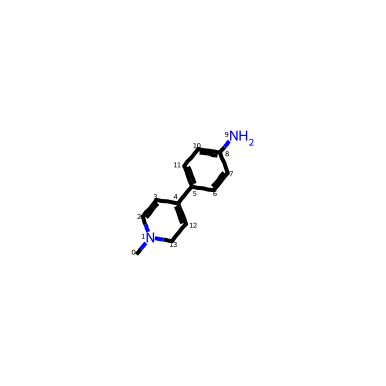 CN1C=CC(c2ccc(N)cc2)=CC1